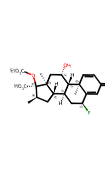 CCOC(=O)O[C@]1(C(=O)O)[C@H](C)C[C@H]2[C@@H]3C[C@H](F)C4=CC(=O)C=C[C@]4(C)[C@H]3[C@@H](O)C[C@@]21C